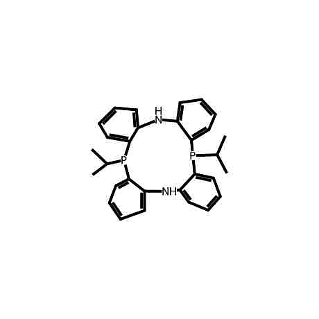 CC(C)P1c2ccccc2Nc2ccccc2P(C(C)C)c2ccccc2Nc2ccccc21